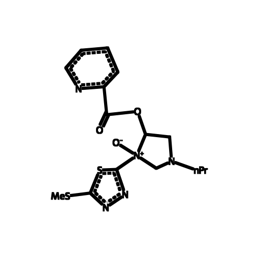 CCCN1CC(OC(=O)c2ccccn2)[N+]([O-])(c2nnc(SC)s2)C1